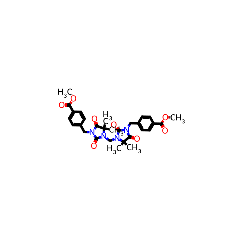 COC(=O)c1ccc(CN2C(=O)N(CN3C(=O)N(Cc4ccc(C(=O)OC)cc4)C(=O)C3(C)C)C(C)(C)C2=O)cc1